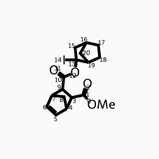 COC(=O)C1C2C=CC(C2)C1C(=O)OC1(I)CC2CCC1C2